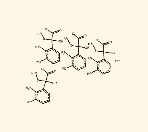 NOC(O)(C(=O)[O-])c1cccc(O)c1N.NOC(O)(C(=O)[O-])c1cccc(O)c1N.NOC(O)(C(=O)[O-])c1cccc(O)c1N.NOC(O)(C(=O)[O-])c1cccc(O)c1N.[Pt+4]